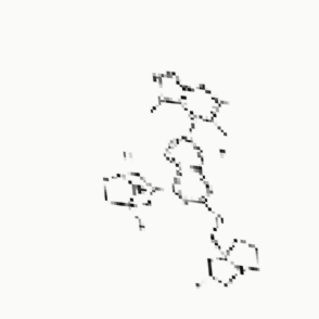 Cc1cc2cnn(C)c2c(-c2ccc3c(N4C[C@H]5CC[C@@H](C4)N5)nc(OC[C@@]45CCCN4C[C@H](F)C5)nc3c2F)c1C